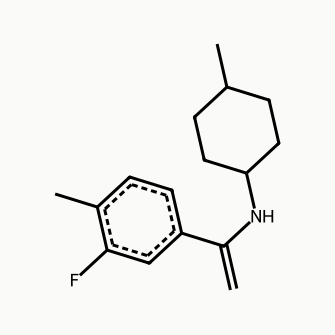 C=C(NC1CCC(C)CC1)c1ccc(C)c(F)c1